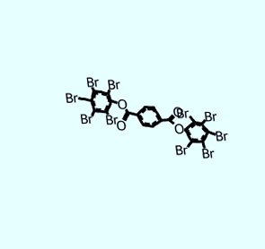 O=C(Oc1c(Br)c(Br)c(Br)c(Br)c1Br)c1ccc(C(=O)Oc2c(Br)c(Br)c(Br)c(Br)c2Br)cc1